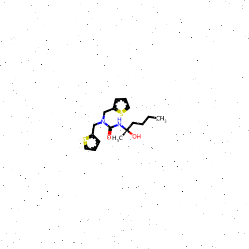 CCCC[C@](C)(O)NC(=O)N(Cc1cccs1)Cc1cccs1